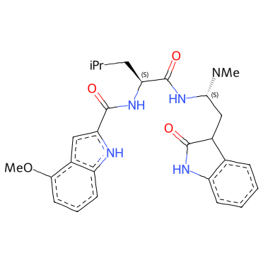 CN[C@H](CC1C(=O)Nc2ccccc21)NC(=O)[C@H](CC(C)C)NC(=O)c1cc2c(OC)cccc2[nH]1